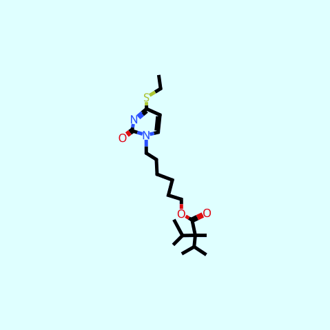 CCSc1ccn(CCCCCCOC(=O)C(C)(C(C)C)C(C)C)c(=O)n1